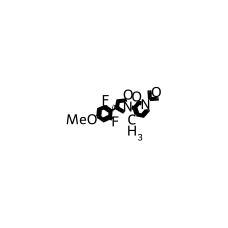 COc1cc(F)c([C@H]2CC(=O)N(c3c(C)ccn(C4COC4)c3=O)C2)c(F)c1